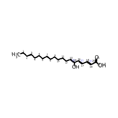 CCCCCCCCCCCCC/C=C(O)/C=C/C=C/C(=O)O